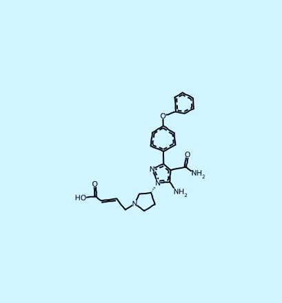 NC(=O)c1c(-c2ccc(Oc3ccccc3)cc2)nn([C@@H]2CCN(CC=CC(=O)O)C2)c1N